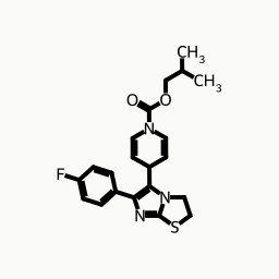 CC(C)COC(=O)N1C=CC(c2c(-c3ccc(F)cc3)nc3n2CCS3)C=C1